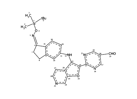 CC(C)(C)[Si](C)(C)O/N=C1/CCc2cc(Nc3c(-c4ncc(C=O)cn4)oc4cnccc34)ccc21